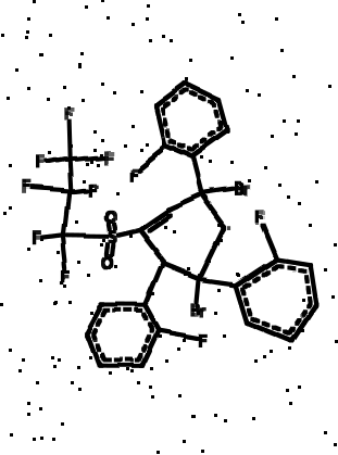 O=S(=O)(C1=CC(Br)(c2ccccc2F)[CH]C(Br)(c2ccccc2F)C1c1ccccc1F)C(F)(F)C(F)(F)C(F)(F)F